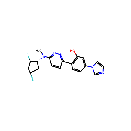 CN(c1ccc(-c2ccc(-n3ccnc3)cc2O)nn1)[C@@H]1C[C@@H](F)C[C@H]1F